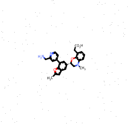 Cc1cc2cc([C@H]3CN(C)c4cccc(CC(=O)O)c4O3)cc(-c3ccnc(CN)c3)c2o1